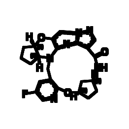 O=C1N[C@@H]2CC[C@@H](C2)Oc2ncc(F)cc2CN2c3nc4c1cnn4cc3O[C@H]1CCC[C@H]12